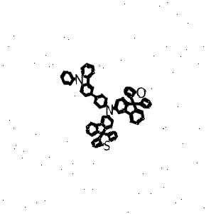 c1ccc(-n2c3ccccc3c3cc(-c4ccc(N(c5ccc6c(c5)-c5ccccc5C65c6ccccc6Oc6ccccc65)c5ccc6c(c5)-c5ccccc5C65c6ccccc6Sc6ccccc65)cc4)ccc32)cc1